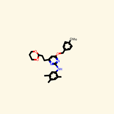 COc1ccc(COc2cc(CCC3OCCCO3)nc(Nc3cc(C)c(C)cc3C)n2)cc1